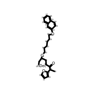 CCCCCCCCCCCC(CCC(=O)C(C)c1ccco1)OCCCCCCOc1ccc2ccccc2c1